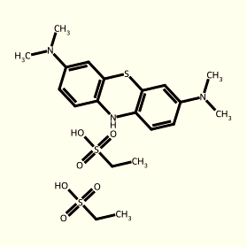 CCS(=O)(=O)O.CCS(=O)(=O)O.CN(C)c1ccc2c(c1)Sc1cc(N(C)C)ccc1N2